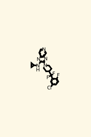 Fc1ccc(Cl)cc1C(F)(F)C1CCN(c2nc3cnccc3nc2NC2CC2)CC1